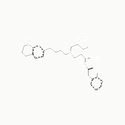 CO[C@H](CF)CN(CCCCc1ccc2c(n1)NCCC2)CC[C@H](NC(=O)Cc1ccccc1F)C(=O)O